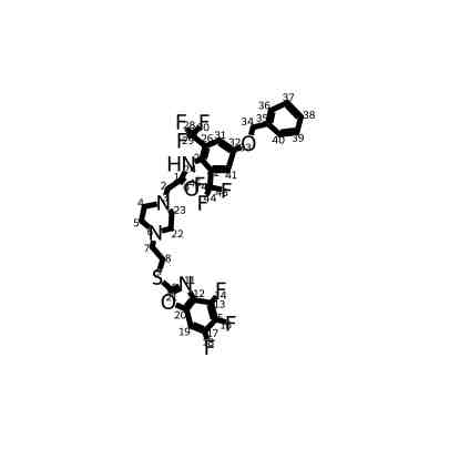 O=C(CN1CCN(CCSc2nc3c(F)c(F)c(F)cc3o2)CC1)Nc1c(C(F)(F)F)cc(OCc2ccccc2)cc1C(F)(F)F